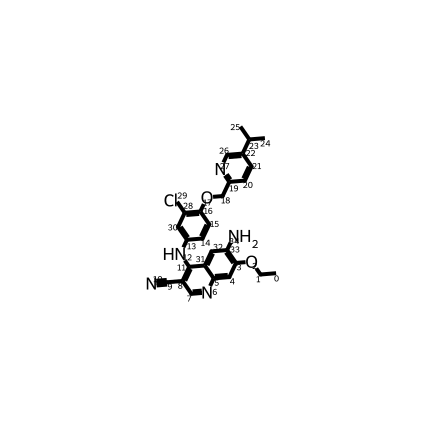 CCOc1cc2ncc(C#N)c(Nc3ccc(OCc4ccc(C(C)C)cn4)c(Cl)c3)c2cc1N